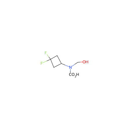 O=C(O)N(CO)C1CC(F)(F)C1